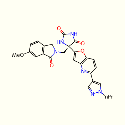 CCCn1cc(-c2ccc3oc([C@]4(CN5Cc6ccc(OC)cc6C5=O)NC(=O)NC4=O)cc3n2)cn1